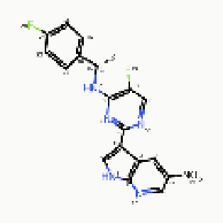 C[C@H](Nc1nc(-c2c[nH]c3ncc([N+](=O)[O-])cc23)ncc1F)c1ccc(F)cc1